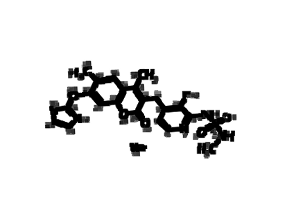 CNS(=O)(=O)Nc1nccc(Cc2c(C)c3cc(C)c(Oc4nccs4)cc3oc2=O)c1F.[Na]